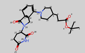 CC(C)(C)OC(=O)CCC1CCN(c2cccc3c2CN(C2CCC(=O)NC2=O)C3=O)CC1